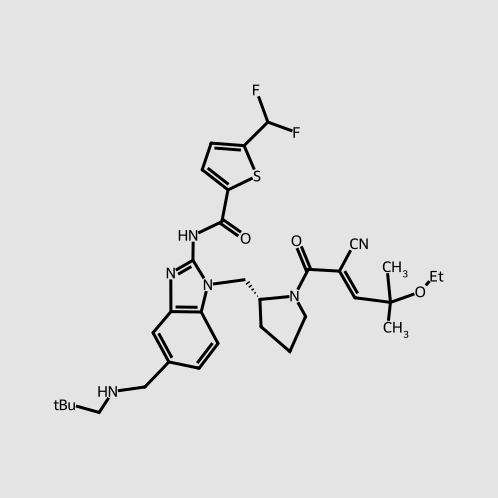 CCOC(C)(C)/C=C(\C#N)C(=O)N1CCC[C@@H]1Cn1c(NC(=O)c2ccc(C(F)F)s2)nc2cc(CNCC(C)(C)C)ccc21